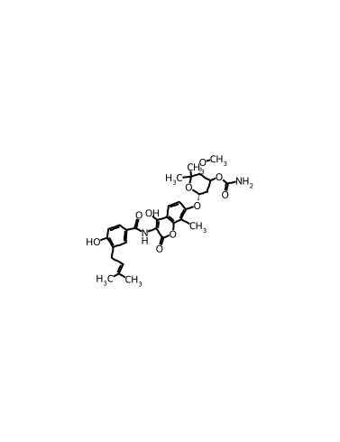 CO[C@@H]1C(OC(N)=O)C[C@H](Oc2ccc3c(O)c(NC(=O)c4ccc(O)c(CC=C(C)C)c4)c(=O)oc3c2C)OC1(C)C